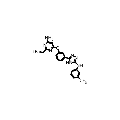 CC(C)(C)Cc1nc(N)cc(Oc2cccc(-c3nnc(Nc4cccc(C(F)(F)F)c4)[nH]3)c2)n1